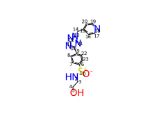 [O-][S+](NCCO)c1ccc(-c2nnn(Cc3ccncc3)n2)cc1